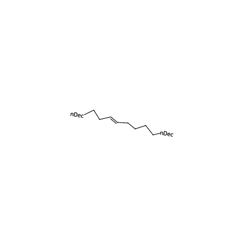 CCCCCCCCCCCCC=CCCCCCCCCCCCCCC